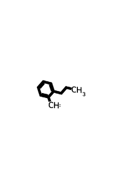 [CH]c1ccccc1CCC